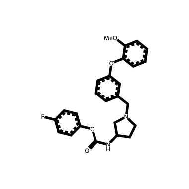 COc1ccccc1Oc1cccc(CN2CCC(NC(=O)Oc3ccc(F)cc3)C2)c1